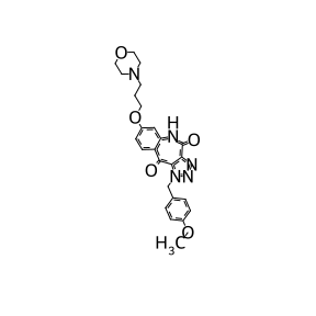 COc1ccc(Cn2nnc3c(=O)[nH]c4cc(OCCCN5CCOCC5)ccc4c(=O)c32)cc1